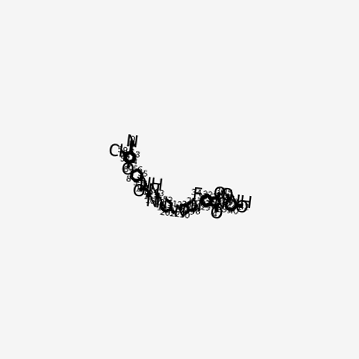 N#Cc1ccc(O[C@H]2CC[C@H](NC(=O)c3cnc(N4CCC(CN5CC6CN(c7cc8c(cc7F)C(=O)N(C7CCC(=O)NC7=O)C8=O)CC6C5)CC4)cn3)CC2)cc1Cl